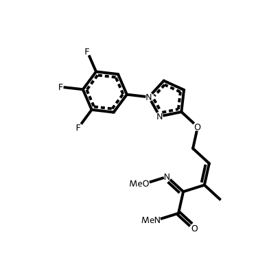 CNC(=O)C(=NOC)C(C)=CCOc1ccn(-c2cc(F)c(F)c(F)c2)n1